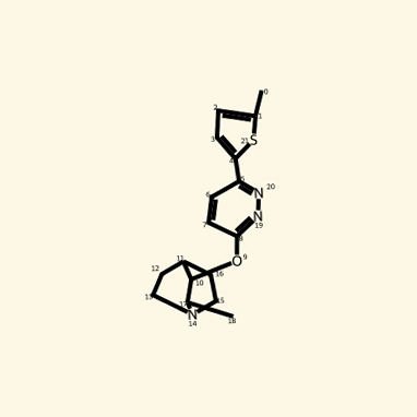 Cc1ccc(-c2ccc(OC3C4CCN(CC4)C3C)nn2)s1